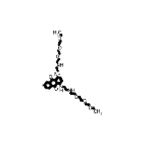 CCOCCOCCOCCNCCNc1ccc(NCCNCCOCCOCCOCC)c2c1C(=O)c1ccccc1C2=O